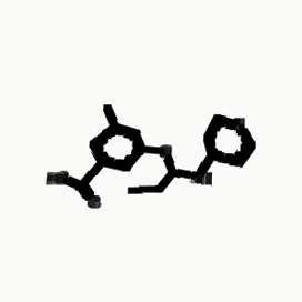 CCC(Nc1ccncc1)Oc1cc(C)cc(C(=O)O)c1